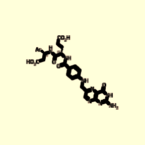 CC(=O)[C@H](CC(=O)O)NC(=O)[C@H](CCC(=O)O)NC(=O)c1ccc(NCc2cnc3nc(N)[nH]c(=O)c3n2)cc1